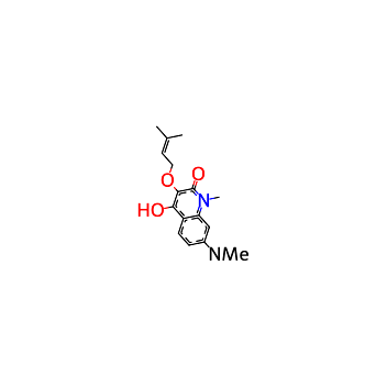 CNc1ccc2c(O)c(OCC=C(C)C)c(=O)n(C)c2c1